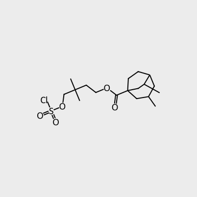 CC1CC2CCC(C(=O)OCCC(C)(C)COS(=O)(=O)Cl)(C1)CC2C